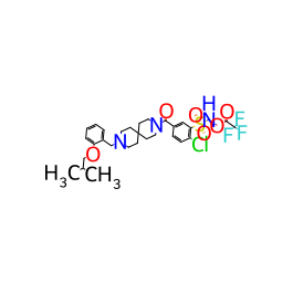 CC(C)COc1ccccc1CN1CCC2(CC1)CCN(C(=O)c1ccc(Cl)c(S(=O)(=O)NOC(=O)C(F)(F)F)c1)CC2